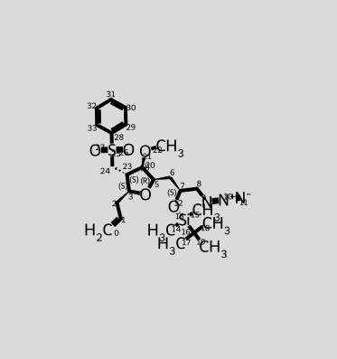 C=CC[C@@H]1O[C@H](C[C@@H](CN=[N+]=[N-])O[Si](C)(C)C(C)(C)C)[C@H](OC)[C@H]1CS(=O)(=O)c1ccccc1